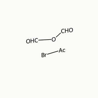 CC(=O)Br.O=COC=O